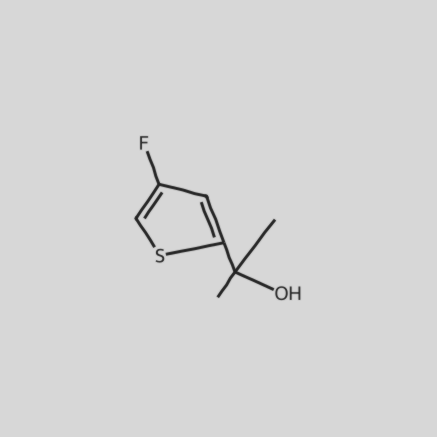 CC(C)(O)c1cc(F)cs1